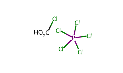 ClP(Cl)(Cl)(Cl)Cl.O=C(O)Cl